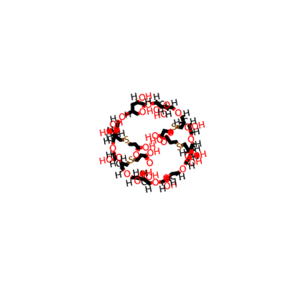 O=C(O)CCSC[C@H]1O[C@@H]2O[C@@H]3CO[C@H](O[C@@H]4CO[C@H](O[C@H]5C[C@@H](O)[C@@H](O[C@H]6[C@H](O)[C@@H](O)[C@@H](O[C@@H]7CO[C@H](O[C@@H]8CO[C@H](O[C@H]9C[C@@H](O)[C@@H](O[C@H]1[C@H](O)[C@H]2O)O[C@@H]9CSCCC(=O)O)[C@H](O)[C@H]8O)[C@H](O)C7)O[C@@H]6CSCCC(=O)O)O[C@@H]5CSCCC(=O)O)[C@H](O)[C@H]4O)[C@H](O)C3